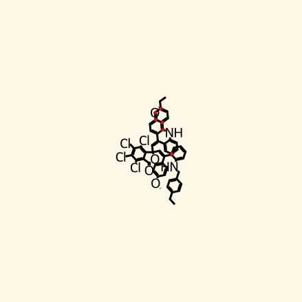 CCc1ccc(CNc2ccccc2C(=CC2(C=C(c3ccc(OC)cc3)c3ccccc3NCc3ccc(CC)cc3)OC(=O)c3c(Cl)c(Cl)c(Cl)c(Cl)c32)c2ccc(OC)cc2)cc1